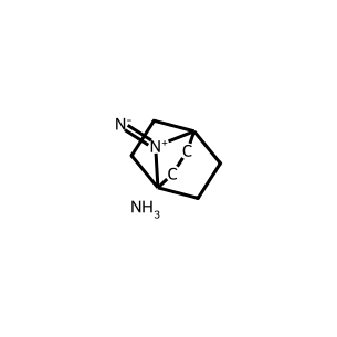 N.[N-]=[N+]1C23CCC1(CC2)CC3